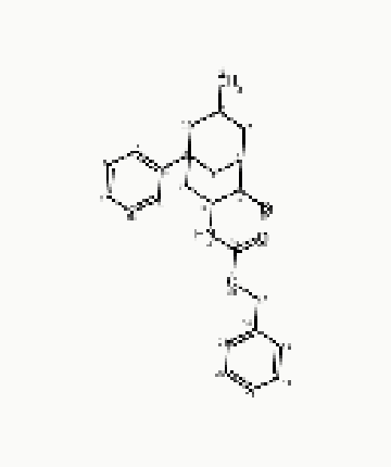 CC1CC2CC(c3ccccc3)(C1)CC(NC(=O)OCc1ccccc1)C2Br